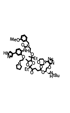 CCC(C)(OC(C)C(=O)C(C)(CC)OCCN(Cc1cccc(OC)c1)C(=O)Nc1ccc(-c2cn[nH]c2)cc1OCCN1CCCC1)C(=O)CCC(=O)O[C@@H](CNC(C)(C)C)COc1nsnc1N1CCOCC1